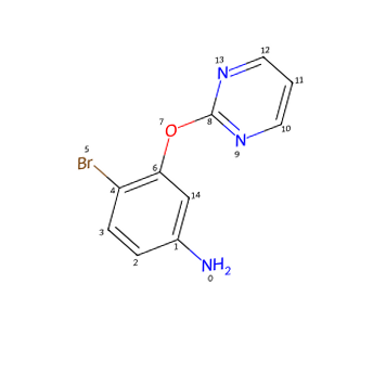 Nc1ccc(Br)c(Oc2ncccn2)c1